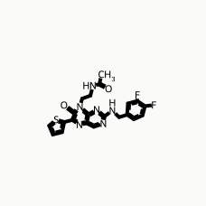 CC(=O)NCCn1c(=O)c(-c2cccs2)nc2cnc(NCc3ccc(F)c(F)c3)nc21